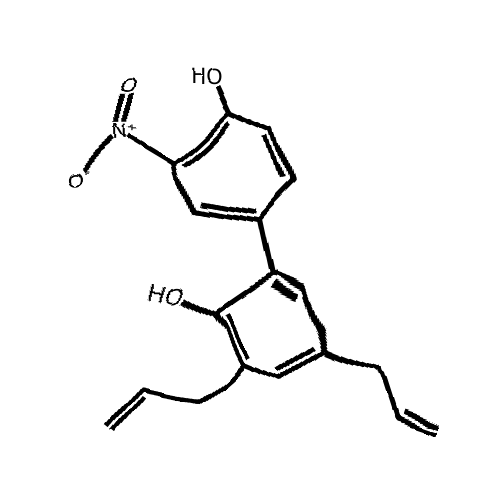 C=CCc1cc(CC=C)c(O)c(-c2ccc(O)c([N+](=O)[O-])c2)c1